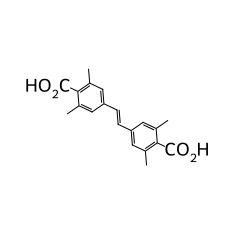 Cc1cc(/C=C/c2cc(C)c(C(=O)O)c(C)c2)cc(C)c1C(=O)O